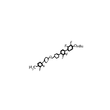 CCCCOc1ccc(-c2ccc(C3=CCC(COC4CC=C(c5ccc(C)c(F)c5F)CC4)CC3)c(F)c2F)c(F)c1F